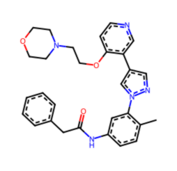 Cc1ccc(NC(=O)Cc2ccccc2)cc1-n1cc(-c2cnccc2OCCN2CCOCC2)cn1